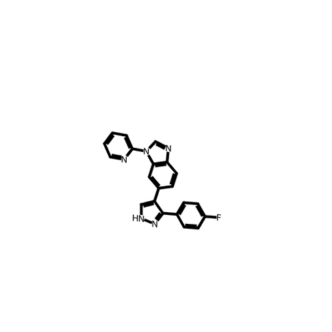 Fc1ccc(-c2n[nH]cc2-c2ccc3ncn(-c4ccccn4)c3c2)cc1